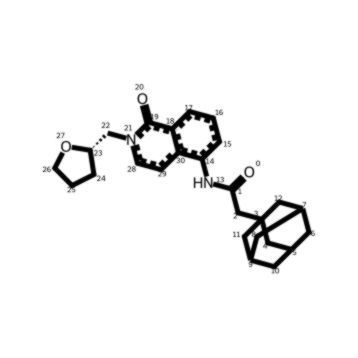 O=C(CC12CC3CC(CC(C3)C1)C2)Nc1cccc2c(=O)n(C[C@@H]3CCCO3)ccc12